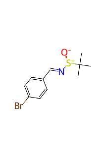 CC(C)(C)[S@+]([O-])N=Cc1ccc(Br)cc1